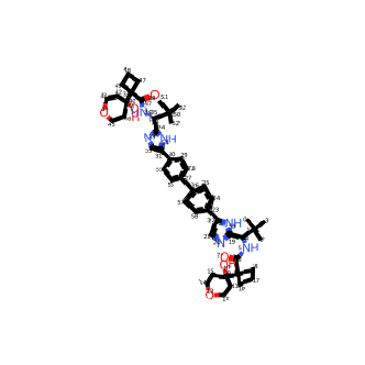 CC(C)(C)C(NC(=O)C1(C2(O)CCOCC2)CCC1)c1ncc(-c2ccc(-c3ccc(-c4cnc([C@@H](NC(=O)C5(C6(O)CCOCC6)CCC5)C(C)(C)C)[nH]4)cc3)cc2)[nH]1